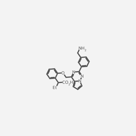 CCC(C(=O)O)c1ccccc1OCc1nc(-c2cccc(CN)c2)nn2cccc12